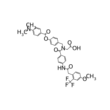 COc1ccc(CC(=O)Nc2ccc(C(=O)N(CC(=O)O)Cc3ccc(OC(=O)c4ccc(N(C)C)cc4)cc3)cc2)c(C(F)(F)F)c1